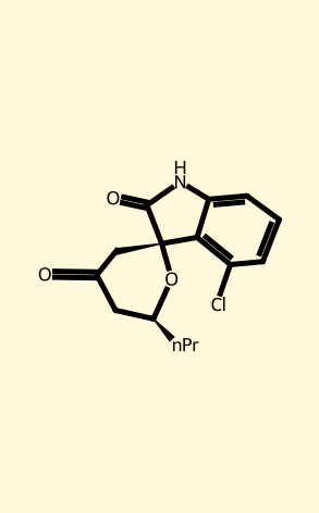 CCC[C@H]1CC(=O)C[C@@]2(O1)C(=O)Nc1cccc(Cl)c12